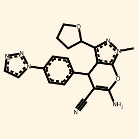 Cn1nc(C2CCCO2)c2c1OC(N)=C(C#N)C2c1ccc(-n2ccnn2)cc1